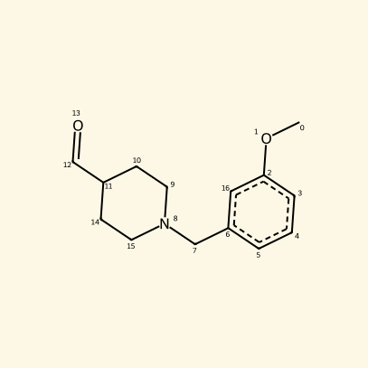 COc1cccc(CN2CCC(C=O)CC2)c1